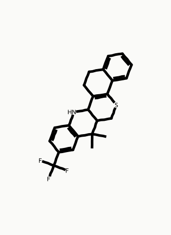 CC1(C)c2cc(C(F)(F)F)ccc2NC2C3=C(SCC21)c1ccccc1CC3